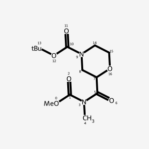 COC(=O)N(C)C(=O)C1CN(C(=O)OC(C)(C)C)CCO1